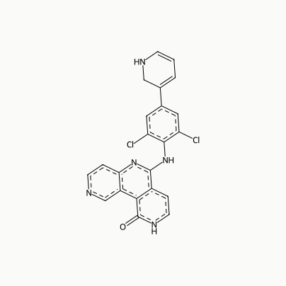 O=c1[nH]ccc2c(Nc3c(Cl)cc(C4=CC=CNC4)cc3Cl)nc3ccncc3c12